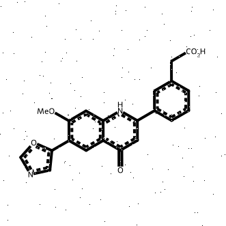 COc1cc2[nH]c(-c3cccc(CC(=O)O)c3)cc(=O)c2cc1-c1cnco1